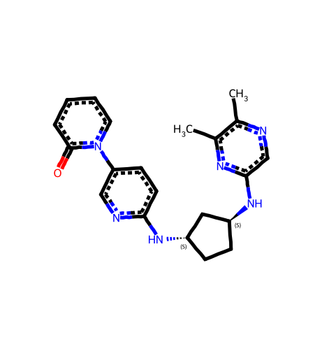 Cc1ncc(N[C@H]2CC[C@H](Nc3ccc(-n4ccccc4=O)cn3)C2)nc1C